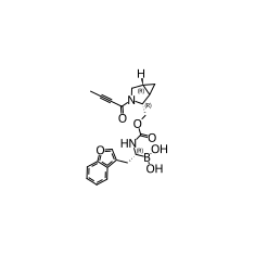 CC#CC(=O)N1C[C@@H]2CC2[C@@H]1COC(=O)N[C@@H](Cc1coc2ccccc12)B(O)O